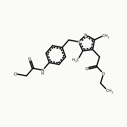 CCOC(=O)Cc1c(C)nn(Cc2ccc(NC(=O)CCl)cc2)c1C